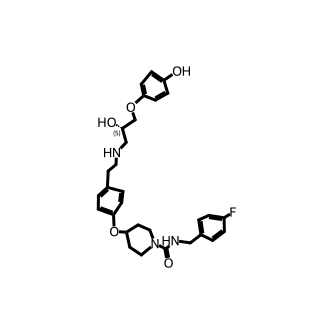 O=C(NCc1ccc(F)cc1)N1CCC(Oc2ccc(CCNC[C@H](O)COc3ccc(O)cc3)cc2)CC1